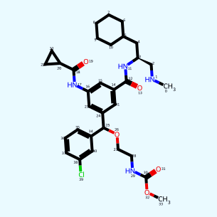 CNC[C@H](CC1CCCCC1)NC(=O)c1cc(NC(=O)C2CC2)cc(C(OCCNC(=O)OC)c2cccc(Cl)c2)c1